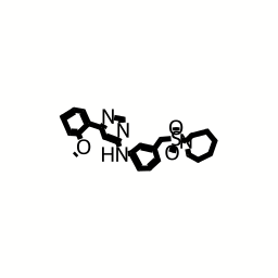 COc1ccccc1-c1cc(Nc2cccc(CS(=O)(=O)N3CCCCCC3)c2)ncn1